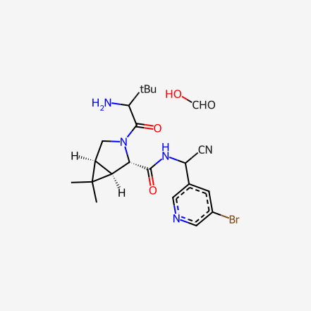 CC(C)(C)C(N)C(=O)N1C[C@H]2[C@@H]([C@H]1C(=O)NC(C#N)c1cncc(Br)c1)C2(C)C.O=CO